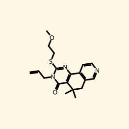 C=CCn1c(SCCOC)nc2c(c1=O)C(C)(C)Cc1cnccc1-2